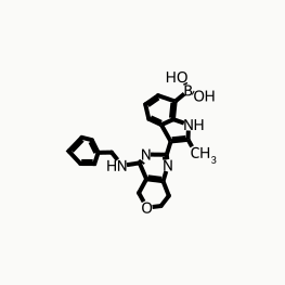 Cc1[nH]c2c(B(O)O)cccc2c1-c1nc2c(c(NCc3ccccc3)n1)COCC2